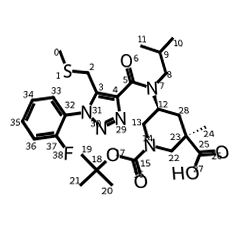 CSCc1c(C(=O)N(CC(C)C)[C@@H]2CN(C(=O)OC(C)(C)C)C[C@](C)(C(=O)O)C2)nnn1-c1ccccc1F